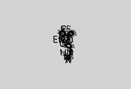 CCN1C(=O)N(C2=CC=C(CNCc3cncn3C)CC2)C(=O)N(C2=CCCC=C2)c2cc(C(F)(F)F)ccc21